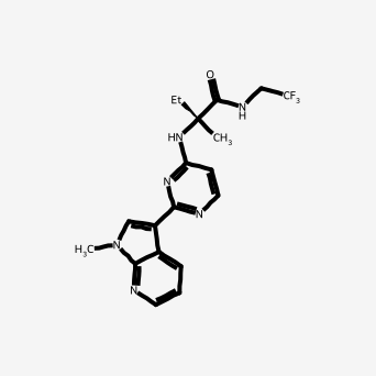 CC[C@@](C)(Nc1ccnc(-c2cn(C)c3ncccc23)n1)C(=O)NCC(F)(F)F